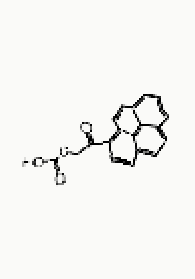 O=C(O)OCC(=O)c1ccc2ccc3cccc4ccc1c2c34